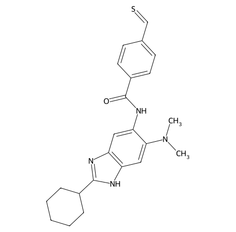 CN(C)c1cc2[nH]c(C3CCCCC3)nc2cc1NC(=O)c1ccc(C=S)cc1